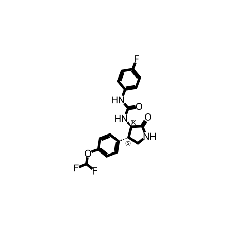 O=C(Nc1ccc(F)cc1)N[C@H]1C(=O)NC[C@@H]1c1ccc(OC(F)F)cc1